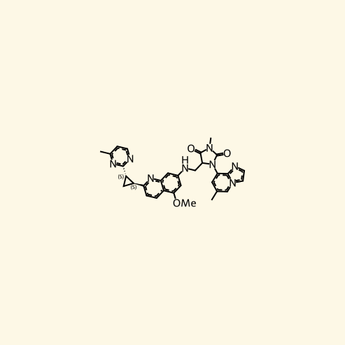 COc1cc(NCC2C(=O)N(C)C(=O)N2c2cc(C)cn3ccnc23)cc2nc([C@H]3C[C@@H]3c3nccc(C)n3)ccc12